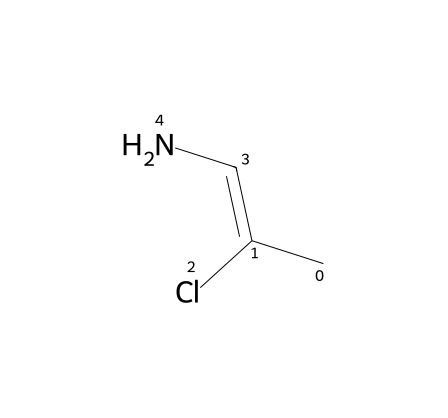 CC(Cl)=CN